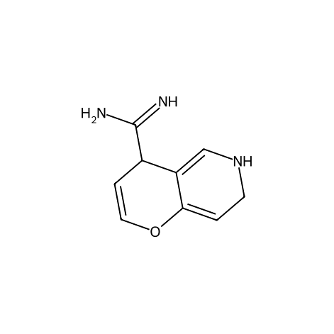 N=C(N)C1C=COC2=CCNC=C21